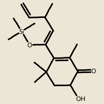 C=CC(C)C=C(O[Si](C)(C)C)C1=C(C)C(=O)C(O)CC1(C)C